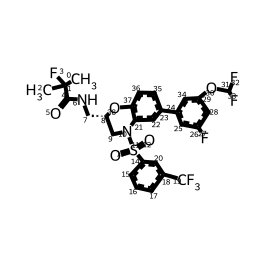 CC(C)(F)C(=O)NC[C@H]1CN(S(=O)(=O)c2cccc(C(F)(F)F)c2)c2cc(-c3cc(F)cc(OC(F)F)c3)ccc2O1